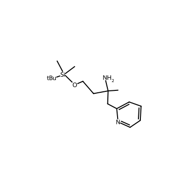 CC(N)(CCO[Si](C)(C)C(C)(C)C)Cc1ccccn1